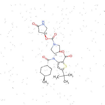 CC(C)(C)c1cc(N(C(=O)[C@H]2CC[C@H](C)CC2)[C@H]2CCN(C(=O)O[C@@H]3CNC(=O)C3)C2)c(C(=O)O)s1